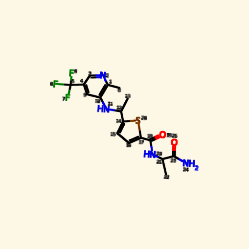 Cc1ncc(C(F)(F)F)cc1NC(C)c1ccc(C(=O)NC(C)C(N)=O)s1